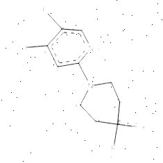 Fc1cnc(N2CCC(F)(F)CC2)cc1I